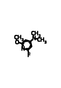 COc1cc(N(C)C)cc(F)n1